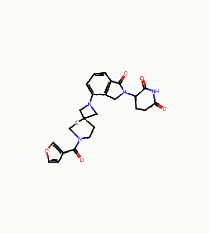 O=C1CCC(N2Cc3c(cccc3N3CC4(CCN(C(=O)c5ccoc5)CC4)C3)C2=O)C(=O)N1